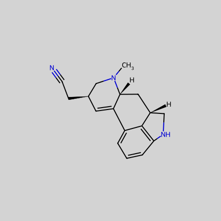 CN1C[C@H](CC#N)C=C2c3cccc4c3[C@@H](CN4)C[C@H]21